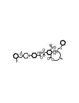 COC1(Cc2ccccc2F)CCN(c2ccc(C(=O)NS(=O)(=O)c3cc4c(c([N+](=O)[O-])c3)N[C@@H](CSc3ccccc3)CCN(C)CCOC4=O)cc2)CC1